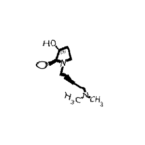 CN(C)CC#CCN1CC[C@H](O)C1=O